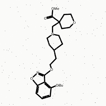 COC(=O)C1(CN2CCC(CCOc3noc4cccc(OCC(C)C)c34)CC2)CCOCC1